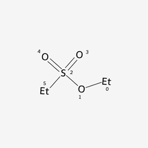 CCOS(=O)(=O)CC